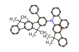 CC1(C)c2ccccc2-c2ccc(N(c3cc(-c4ccccc4)c4c(c3)C(C)(C)c3cc5c(cc3-4)C(C)(C)c3ccccc3-5)c3ccccc3-c3ccccc3)cc21